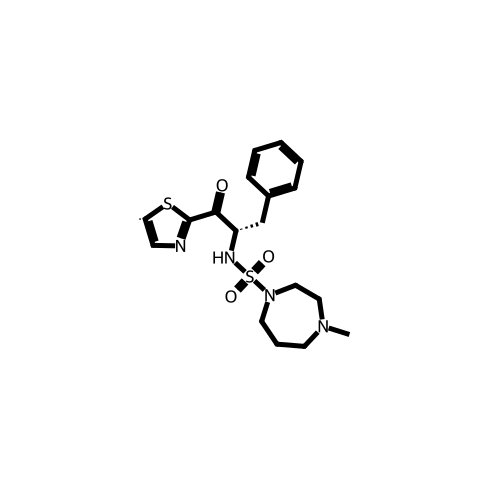 CN1CCCN(S(=O)(=O)N[C@@H](Cc2ccccc2)C(=O)c2nc[c]s2)CC1